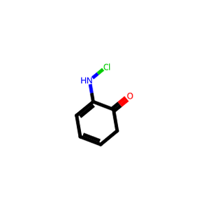 O=C1CC=CC=C1NCl